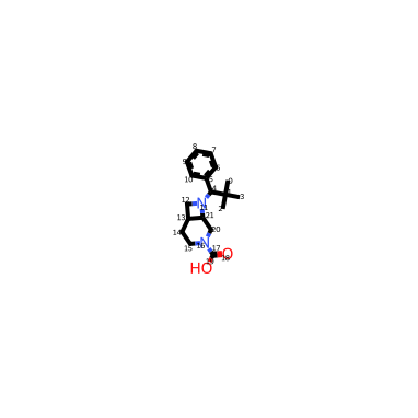 CC(C)(C)C(c1ccccc1)N1CC2CCN(C(=O)O)CC21